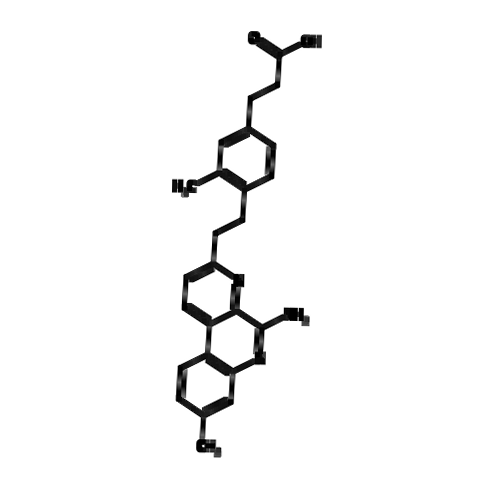 Cc1ccc2c(c1)nc(N)c1nc(CCc3ccc(CCC(=O)O)cc3C)ccc12